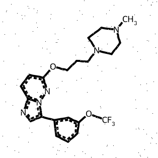 CN1CCN(CCCOc2ccc3ncc(-c4cccc(OC(F)(F)F)c4)n3n2)CC1